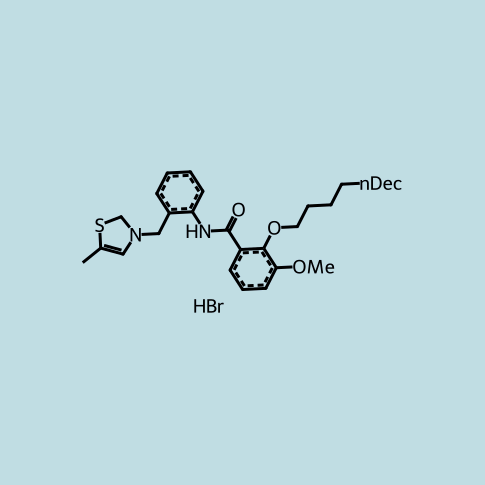 Br.CCCCCCCCCCCCCCOc1c(OC)cccc1C(=O)Nc1ccccc1CN1C=C(C)SC1